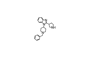 c1ccc(CN2CCC(n3c(C4CCNC4)nc4ccccc43)CC2)cc1